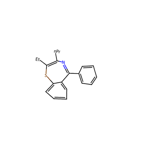 CCCC1=C(CC)Sc2ccccc2C(c2ccccc2)=N1